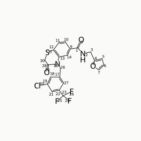 O=C(NCc1ccco1)c1ccc2c(c1)N(Cc1cc(Cl)cc(C(F)(F)F)c1)C(=O)CS2